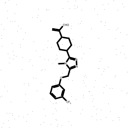 C=C(C=O)C1CCC(c2nnc(COc3cccc(C(F)(F)F)c3)n2C)CC1